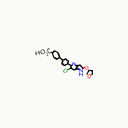 O=C(O)C1CC=C(c2ccc(-c3nc4cc(O[C@H]5CCOC5)[nH]c4cc3Cl)cc2)CC1